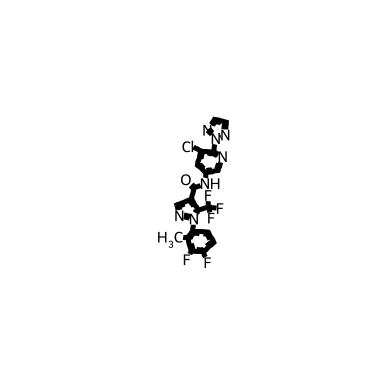 Cc1c(-n2ncc(C(=O)Nc3cnc(-n4nccn4)c(Cl)c3)c2C(F)(F)F)ccc(F)c1F